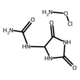 NC(=O)NC1NC(=O)NC1=O.NOCl